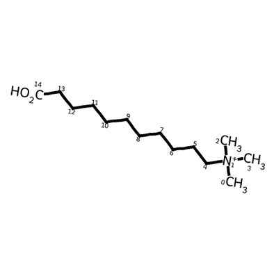 C[N+](C)(C)CCCCCCCCCCC(=O)O